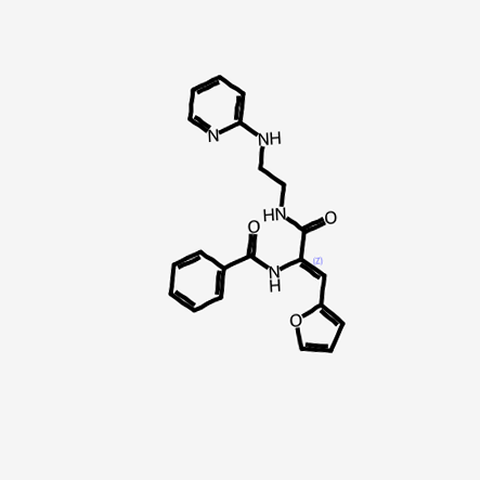 O=C(NCCNc1ccccn1)/C(=C/c1ccco1)NC(=O)c1ccccc1